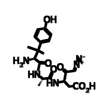 C[C@H](NC(=O)[C@@H](N)C(C)(C)c1ccc(O)cc1)C(=O)NC(CC(=O)O)C(=O)C=[N+]=[N-]